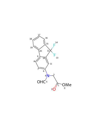 COC(=O)CN(C=O)c1ccc2c(c1)C(F)(F)c1ccccc1-2